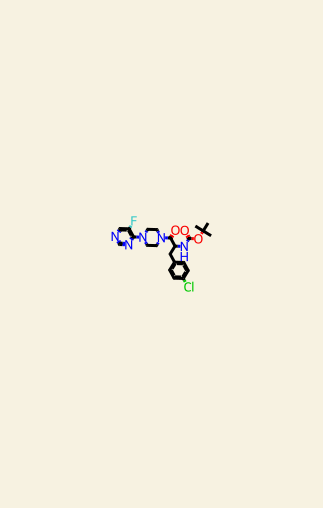 CC(C)(C)OC(=O)NC(Cc1ccc(Cl)cc1)C(=O)N1CCN(c2ncncc2F)CC1